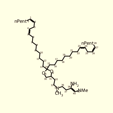 CCCCC/C=C\C/C=C\CCCCCCCCC1(CCCCCCCC/C=C\C/C=C\CCCCC)OCC(CCN(C)CC/C(N)=C/NC)O1